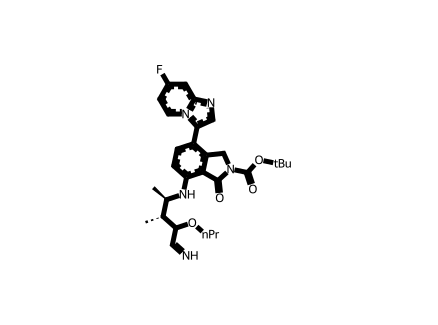 CCCOC(C=N)[C@H](C)[C@@H](C)Nc1ccc(-c2cnc3cc(F)ccn23)c2c1C(=O)N(C(=O)OC(C)(C)C)C2